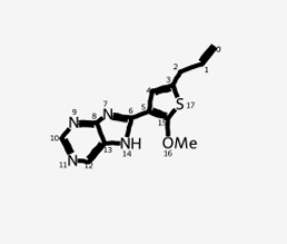 C=CCc1cc(-c2nc3ncncc3[nH]2)c(OC)s1